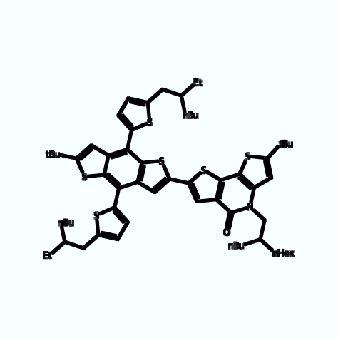 CCCCCCC(CCCC)Cn1c(=O)c2cc(-c3cc4c(-c5ccc(CC(CC)CCCC)s5)c5sc(C(C)(C)C)cc5c(-c5ccc(CC(CC)CCCC)s5)c4s3)sc2c2sc(C(C)(C)C)cc21